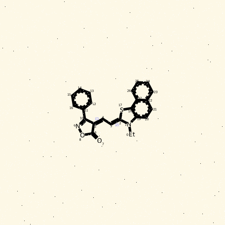 CCN1/C(=C/C=C2\C(=O)ON=C2c2ccccc2)Sc2c1ccc1ccccc21